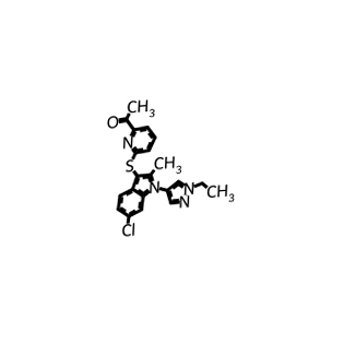 CCn1cc(-n2c(C)c(Sc3cccc(C(C)=O)n3)c3ccc(Cl)cc32)cn1